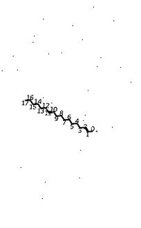 [CH2]C=CCCCCCCCC=CCCCCCC